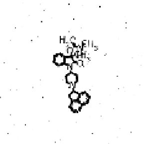 C=C(NC)OC1(C)C(=O)N(C2CCN(C3Cc4cccc5cccc3c45)CC2)c2ccccc21